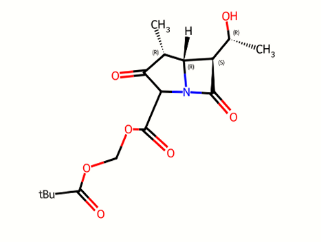 C[C@@H](O)[C@H]1C(=O)N2C(C(=O)OCOC(=O)C(C)(C)C)C(=O)[C@H](C)[C@H]12